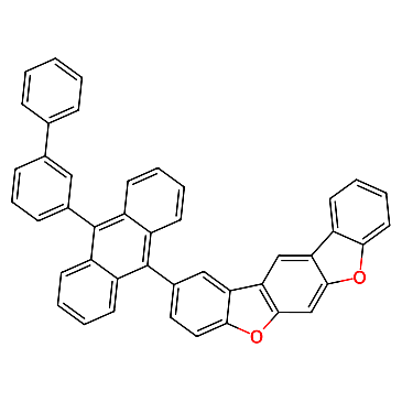 c1ccc(-c2cccc(-c3c4ccccc4c(-c4ccc5oc6cc7oc8ccccc8c7cc6c5c4)c4ccccc34)c2)cc1